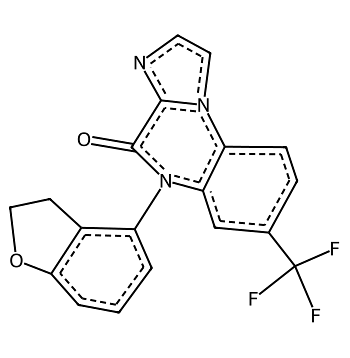 O=c1c2nccn2c2ccc(C(F)(F)F)cc2n1-c1cccc2c1CCO2